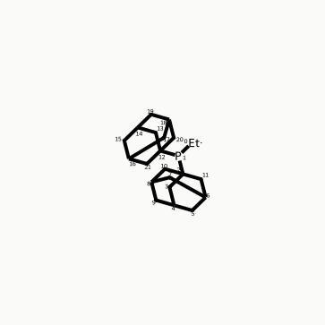 C[CH]P(C12CC3CC(CC(C3)C1)C2)C12CC3CC(CC(C3)C1)C2